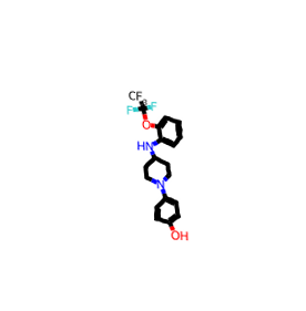 Oc1ccc(N2CCC(Nc3ccccc3OC(F)(F)C(F)(F)F)CC2)cc1